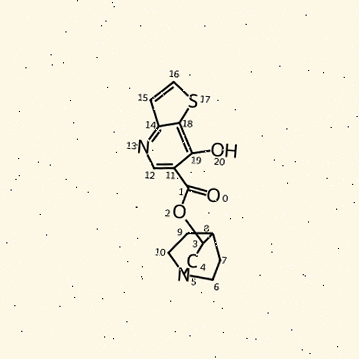 O=C(OC1CN2CCC1CC2)c1cnc2ccsc2c1O